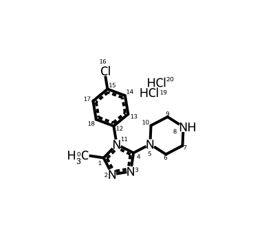 Cc1nnc(N2CCNCC2)n1-c1ccc(Cl)cc1.Cl.Cl